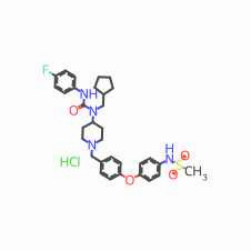 CS(=O)(=O)Nc1ccc(Oc2ccc(CN3CCC(N(CC4CCCC4)C(=O)Nc4ccc(F)cc4)CC3)cc2)cc1.Cl